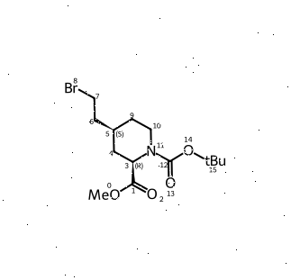 COC(=O)[C@H]1C[C@@H](CCBr)CCN1C(=O)OC(C)(C)C